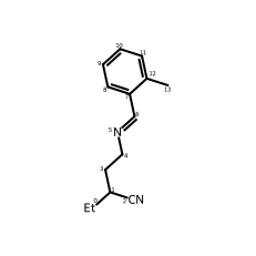 CCC(C#N)CCN=Cc1ccccc1C